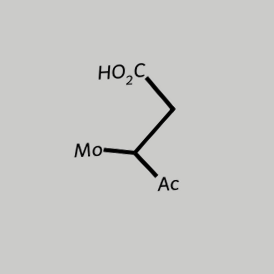 CC(=O)[CH]([Mo])CC(=O)O